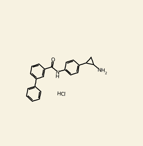 Cl.NC1CC1c1ccc(NC(=O)c2cccc(-c3ccccc3)c2)cc1